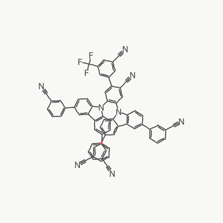 N#Cc1cccc(-c2ccc3c(c2)c2cc(-c4cccc(C#N)c4)ccc2n3-c2cc(C#N)c(-c3cc(C#N)cc(C(F)(F)F)c3)cc2-n2c3ccc(-c4cccc(C#N)c4)cc3c3cc(-c4cccc(C#N)c4)ccc32)c1